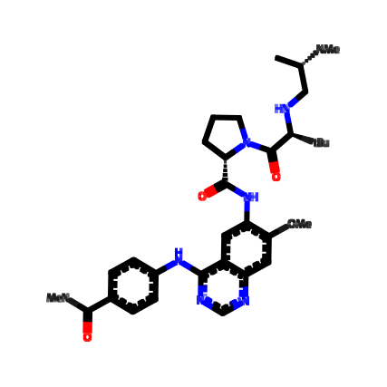 CNC(=O)c1ccc(Nc2ncnc3cc(OC)c(NC(=O)[C@@H]4CCCN4C(=O)[C@@H](NC[C@H](C)NC)C(C)(C)C)cc23)cc1